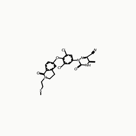 C=C1NC(=O)N(c2cc(Cl)c(Oc3ccc4c(c3)CCN(CCSC)C4=O)c(Cl)c2)N=C1C#N